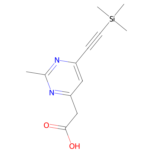 Cc1nc(C#C[Si](C)(C)C)cc(CC(=O)O)n1